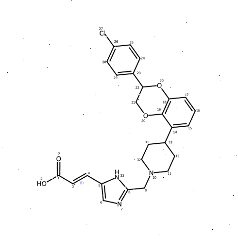 O=C(O)/C=C/c1cnc(CN2CCC(c3cccc4c3OCC(c3ccc(Cl)cc3)O4)CC2)[nH]1